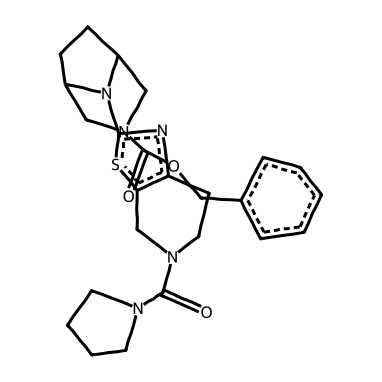 O=C(OCc1ccccc1)N1CC2CCC(C1)N2c1nc2c(s1)CN(C(=O)N1CCCC1)CC2